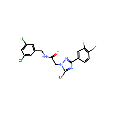 CCc1nc(-c2ccc(Cl)c(F)c2)nn1CC(=O)NCc1cc(Cl)cc(Cl)c1